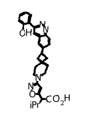 CC(C)C(C(=O)O)c1cc(N2CCC3(CC2)CC(c2ccc4nnc(-c5ccccc5O)cc4c2)C3)no1